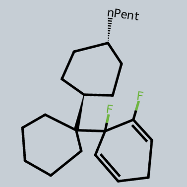 CCCCC[C@H]1CC[C@H](C2(C3(F)C=CCC=C3F)CCCCC2)CC1